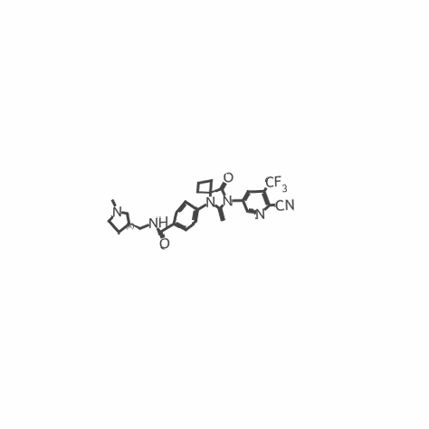 C=C1N(c2cnc(C#N)c(C(F)(F)F)c2)C(=O)C2(CCC2)N1c1ccc(C(=O)NC[C@H]2CCN(C)C2)cc1